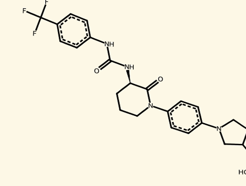 O=C(Nc1ccc(C(F)(F)F)cc1)N[C@@H]1CCCN(c2ccc(N3CCC(CO)C3)cc2)C1=O